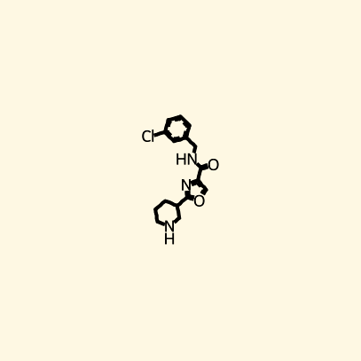 O=C(NCc1cccc(Cl)c1)c1coc(C2CCCNC2)n1